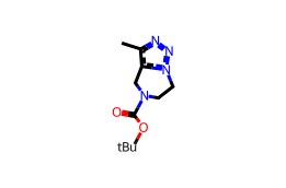 Cc1nnn2c1CN(C(=O)OC(C)(C)C)CC2